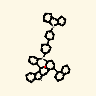 c1ccc(N(c2ccc(-c3ccc(-n4c5ccccc5c5ccccc54)cc3)cc2)c2ccc(-c3cccc4ccccc34)cc2)c(-c2cccc3sc4ccccc4c23)c1